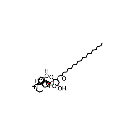 CCCCCCCCCCCCCCCCCC(=O)C[C@@H](CC(=O)O)C(=O)OC1=CC[C@@]2(O)[C@H]3Cc4ccc(O)c5c4[C@@]2(CCCN3C)[C@H]1O5